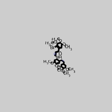 COc1cc(N/C=C\C(=O)c2cc(OC)c(OC)c(OC)c2Br)c(/C=C\c2cc(OC)c(OC)c(OC)c2)cc1O